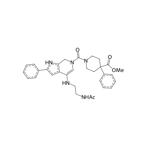 COC(=O)C1(c2ccccc2)CCN(C(=O)N2C=C(NCCNC(C)=O)c3cc(-c4ccccc4)[nH]c3C2)CC1